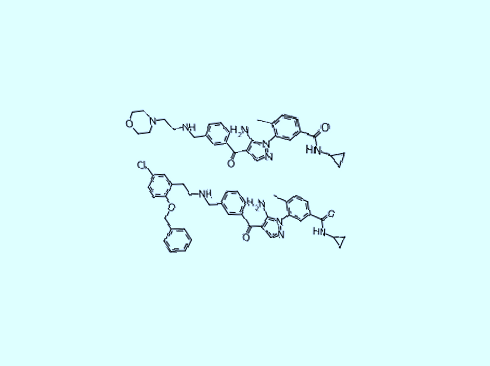 Cc1ccc(C(=O)NC2CC2)cc1-n1ncc(C(=O)c2cccc(CNCCN3CCOCC3)c2)c1N.Cc1ccc(C(=O)NC2CC2)cc1-n1ncc(C(=O)c2cccc(CNCCc3cc(Cl)ccc3OCc3ccccc3)c2)c1N